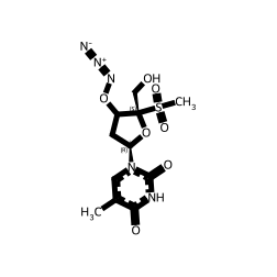 Cc1cn([C@H]2CC(ON=[N+]=[N-])[C@](CO)(S(C)(=O)=O)O2)c(=O)[nH]c1=O